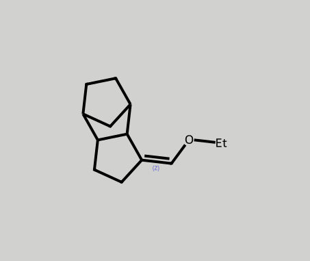 CCO/C=C1/CCC2C3CCC(C3)C12